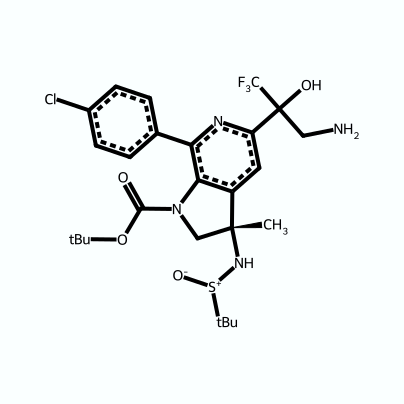 CC(C)(C)OC(=O)N1C[C@@](C)(N[S+]([O-])C(C)(C)C)c2cc(C(O)(CN)C(F)(F)F)nc(-c3ccc(Cl)cc3)c21